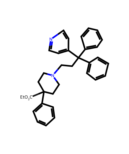 CCOC(=O)C1(c2ccccc2)CCN(CCC(c2ccccc2)(c2ccccc2)c2ccncc2)CC1